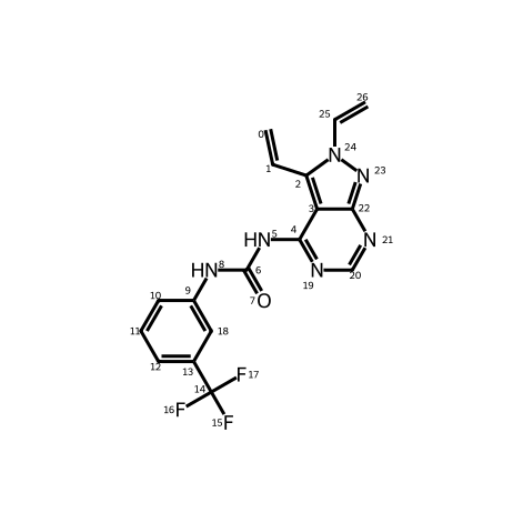 C=Cc1c2c(NC(=O)Nc3cccc(C(F)(F)F)c3)ncnc2nn1C=C